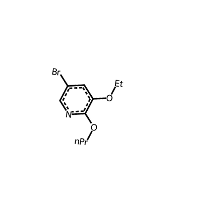 CCCOc1ncc(Br)cc1OCC